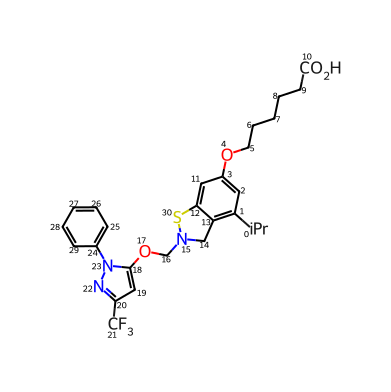 CC(C)c1cc(OCCCCCC(=O)O)cc2c1CN(COc1cc(C(F)(F)F)nn1-c1ccccc1)S2